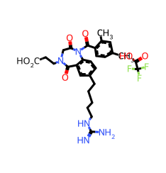 Cc1ccc(C(=O)N2C(=O)CN(CCC(=O)O)C(=O)c3cc(CCCCCNC(=N)N)ccc32)c(C)c1.O=C(O)C(F)(F)F